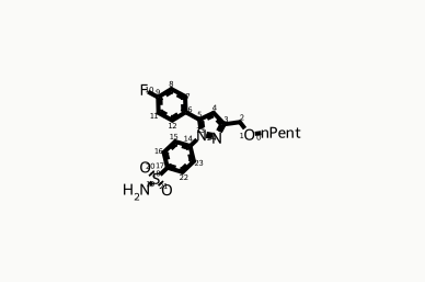 C[CH]CCCOCc1cc(-c2ccc(F)cc2)n(-c2ccc(S(N)(=O)=O)cc2)n1